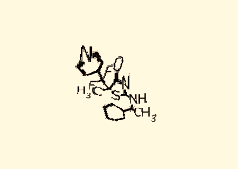 C[C@H](NC1=NC(=O)C(C)(C(F)(F)c2ccncc2)S1)C1CCCCC1